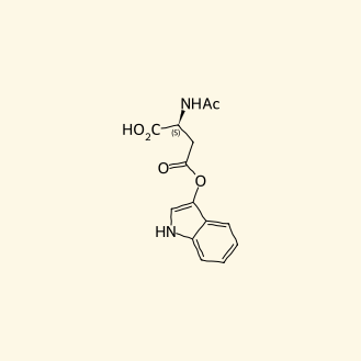 CC(=O)N[C@@H](CC(=O)Oc1c[nH]c2ccccc12)C(=O)O